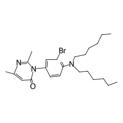 C=C(/C=C\C(=C/CBr)n1c(C)nc(C)cc1=O)N(CCCCCC)CCCCCC